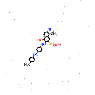 Cc1ccc(N=Nc2ccc(N=Nc3c(SOOO)cc4c(C)c(N)ccc4c3O)cc2)cc1